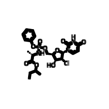 CCC(C)OC(=O)[C@H](C)NP(=O)(OC[C@H]1O[C@@H](n2ccc(=O)[nH]c2=O)[C@@H](Cl)[C@@H]1O)Oc1ccccc1